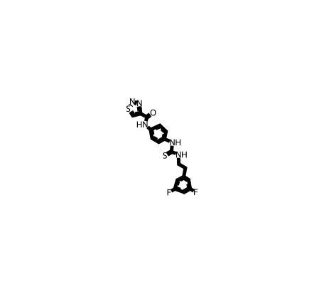 O=C(Nc1ccc(NC(=S)NCCc2cc(F)cc(F)c2)cc1)c1csnn1